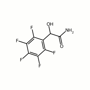 NC(=O)C(O)c1c(F)c(F)c(F)c(F)c1F